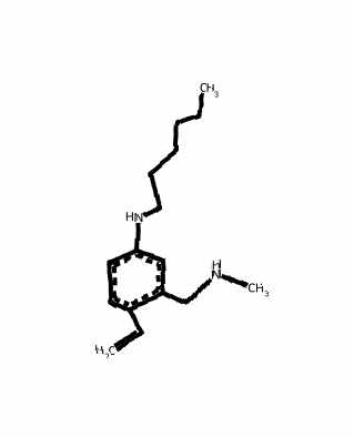 C=Cc1ccc(NCCCCCC)cc1CNC